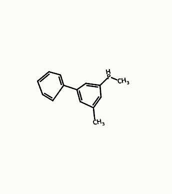 CPc1cc(C)cc(-c2ccccc2)c1